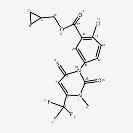 Cn1c(C(F)(F)F)cc(=S)n(-c2ccc(Cl)c(C(=O)OCC3CC3)c2)c1=O